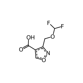 O=C(O)c1conc1COC(F)F